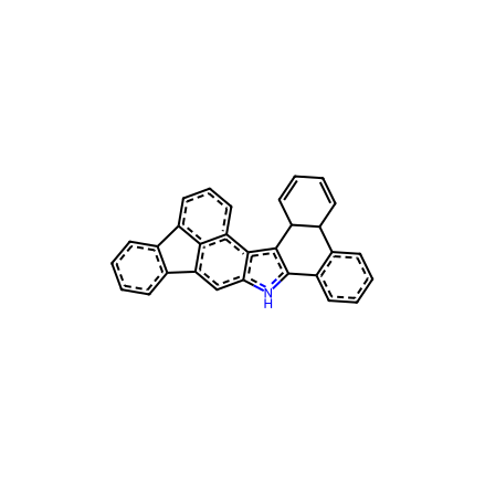 C1=CC2c3ccccc3-c3[nH]c4cc5c6c(cccc6c4c3C2C=C1)-c1ccccc1-5